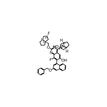 O=C(O)N1[C@@H]2CC[C@H]1CN(c1nc(OC[C@@]34CCCN3C[C@H](F)C4)nc3c(F)c(-c4cc(OCc5ccccc5)cc5ccccc45)c(O)cc13)C2